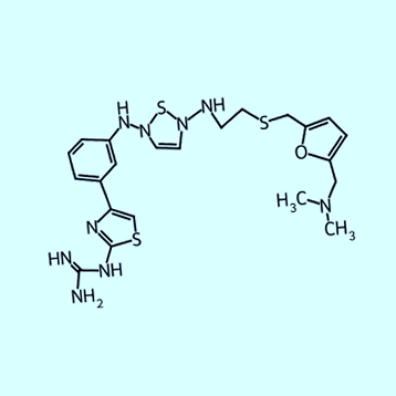 CN(C)Cc1ccc(CSCCNN2C=CN(Nc3cccc(-c4csc(NC(=N)N)n4)c3)S2)o1